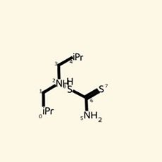 CC(C)CNCC(C)C.NC(=S)S